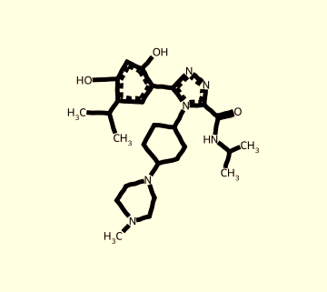 CC(C)NC(=O)c1nnc(-c2cc(C(C)C)c(O)cc2O)n1C1CCC(N2CCN(C)CC2)CC1